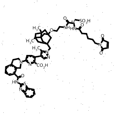 Cc1c(-c2ccc(N3CCc4cccc(C(=O)Nc5nc6ccccc6s5)c4C3)nc2C(=O)O)cnn1CC12CC3(OCCNC(=O)[C@H](CS(=O)(=O)O)NC(=O)CCCCCN4C(=O)C=CC4=O)CC4(C)CC(C)(C1)C4(C2)C3